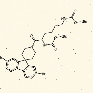 CC(C)(C)OC(=O)NCCCCC(NC(=O)OC(C)(C)C)C(=O)N1CCC2(CC1)c1cc(Br)ccc1-c1ccc(Br)cc12